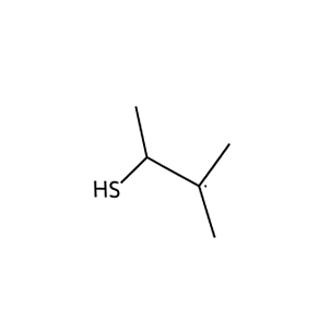 C[C](C)C(C)S